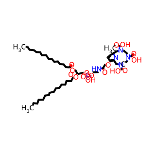 CCCCCCCCCCCCCCCC(=O)OCC(COP(=O)(O)OCCNC(=O)COc1ccc2nc1CN(C(=O)O)CCN(C(=O)O)CCN(C(=O)O)C2C)OC(=O)CCCCCCCCCCCCCCC